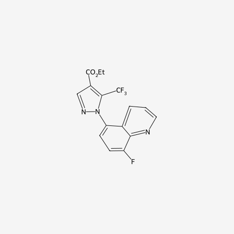 CCOC(=O)c1cnn(-c2ccc(F)c3ncccc23)c1C(F)(F)F